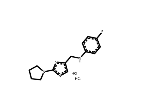 Cl.Cl.Fc1ccc(NCc2cnc(N3CCCC3)s2)cc1